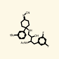 CC(=O)NC(Cc1cc(F)cc(F)c1)C(O)CNC1(c2cccc(C(C)(C)C)c2)CCC(=NC#N)CC1